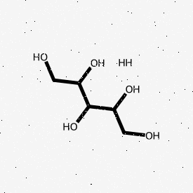 OCC(O)C(O)C(O)CO.[HH]